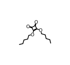 CCCCCOc1c(OCCCCC)c(=O)c1=O